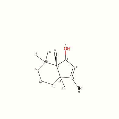 CC(C)C1=CC(O)[C@H]2C(C)(C)CCCC12C